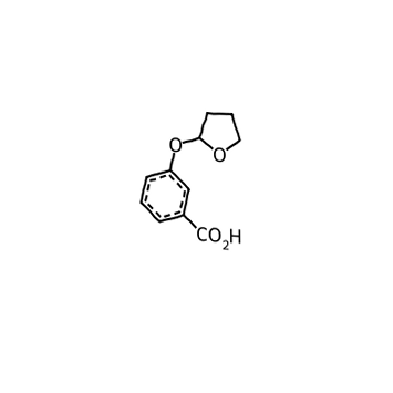 O=C(O)c1cccc(OC2CCCO2)c1